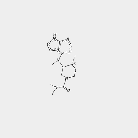 C[C@@H]1CCN(C(=O)N(C)C)CC1N(C)c1ccnc2[nH]ccc12